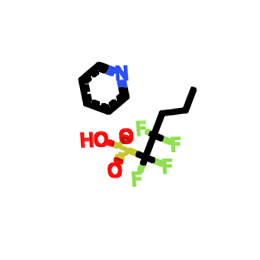 CCCC(F)(F)C(F)(F)S(=O)(=O)O.c1ccncc1